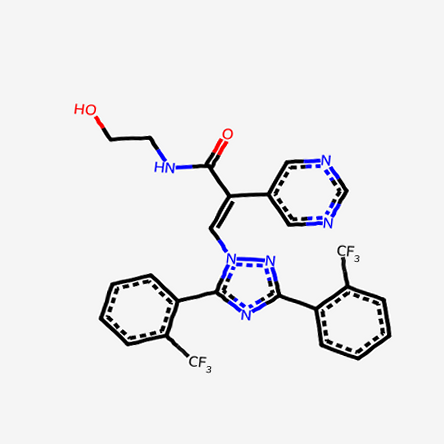 O=C(NCCO)/C(=C/n1nc(-c2ccccc2C(F)(F)F)nc1-c1ccccc1C(F)(F)F)c1cncnc1